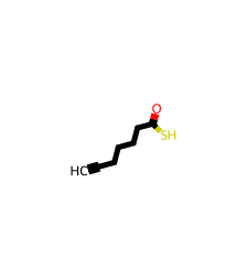 C#CCCCCC(=O)S